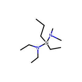 CCC[Si](CC)(N(C)C)N(CC)CC